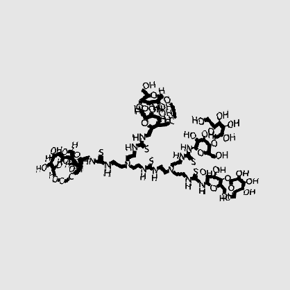 OCC1O[C@@H]2OCCCCC3C(CNC(=S)NCCN(CCNC(=S)NCCN(CCNC(=S)N[C@@H]4OC(CO)[C@@H](O[C@@H]5OC(CO)[C@H](O)[C@H](O)C5O)[C@H](O)C4O)CCNC(=S)N[C@@H]4OC(CO)[C@@H](O[C@@H]5OC(CO)[C@H](O)[C@H](O)C5O)[C@H](O)C4O)CCNC(=S)NCC4O[C@@H]5OC6C(CO)O[C@H](OCCCCC4[C@H](O)C5O)C(O)[C@H]6O)O[C@H](OC1[C@H](O)C2O)C(O)[C@H]3O